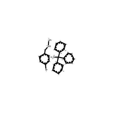 CCCNCc1ccc(Br)cc1.NC(c1ccccc1)(c1ccccc1)c1ccccc1